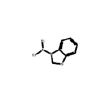 CCN(CC)N1COc2ccccc21